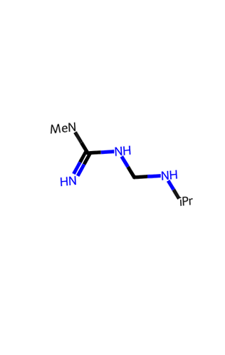 CNC(=N)NCNC(C)C